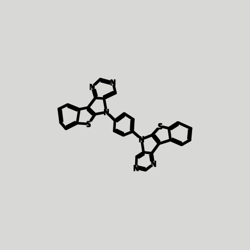 c1ccc2c(c1)sc1c2c2ncncc2n1-c1ccc(-n2c3cncnc3c3c4ccccc4sc32)cc1